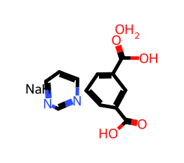 O.O=C(O)c1cccc(C(=O)O)c1.[NaH].c1cncnc1